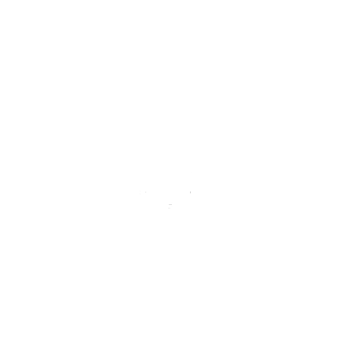 CCCOB(C)OC